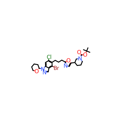 CC(C)(C)OC(=O)N1CCCC(c2cnc(CCCc3c(Cl)cc4c(cnn4C4CCCCO4)c3Br)o2)C1